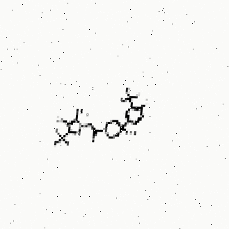 Cc1c(Cl)c(C(F)(F)F)nn1CC(=O)N1CCC(O)(c2ccc(Cl)c(C(F)(F)F)c2)CC1